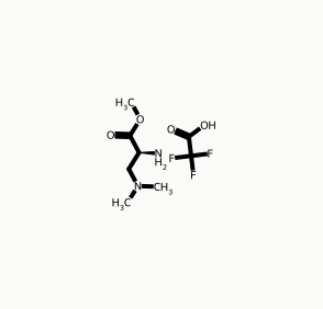 COC(=O)[C@@H](N)CN(C)C.O=C(O)C(F)(F)F